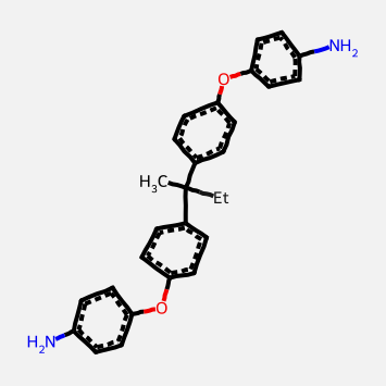 CCC(C)(c1ccc(Oc2ccc(N)cc2)cc1)c1ccc(Oc2ccc(N)cc2)cc1